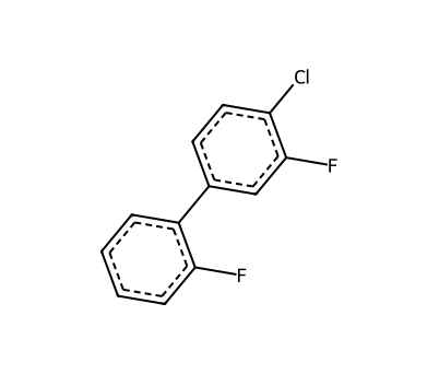 Fc1cc(-c2ccccc2F)ccc1Cl